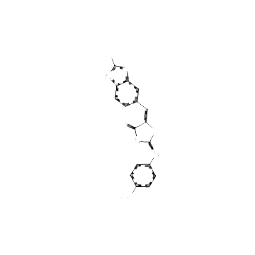 Cc1nc2ccc(C=C3SC(=Nc4ccc(C(=O)O)cc4)NC3=O)cc2o1